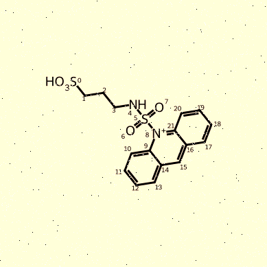 O=S(=O)(O)CCCNS(=O)(=O)[n+]1c2ccccc2cc2ccccc21